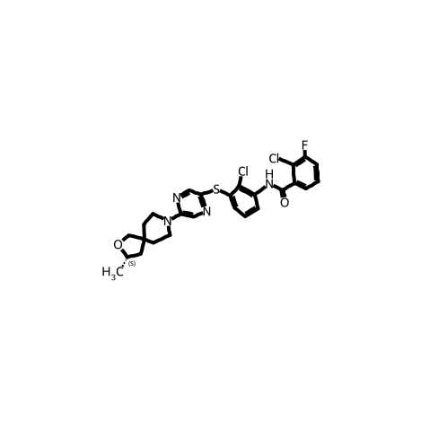 C[C@H]1CC2(CCN(c3cnc(Sc4cccc(NC(=O)c5cccc(F)c5Cl)c4Cl)cn3)CC2)CO1